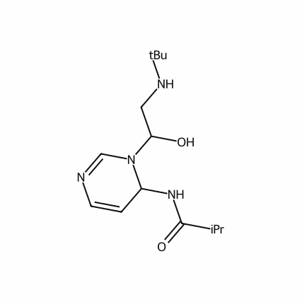 CC(C)C(=O)NC1C=CN=CN1C(O)CNC(C)(C)C